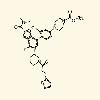 CN(C)C(=O)c1cc2c(F)c([C@H]3CCCN(C(=O)CCn4cccn4)C3)cc(-c3ccc(N4CCN(C(=O)OC(C)(C)C)CC4)cc3Cl)c2o1